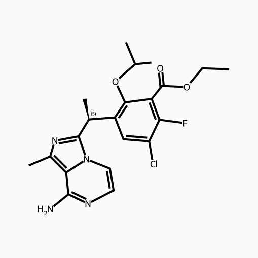 CCOC(=O)c1c(F)c(Cl)cc([C@H](C)c2nc(C)c3c(N)nccn23)c1OC(C)C